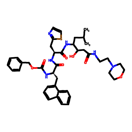 CC(C)CC(NC(=O)[C@H](Cc1nccs1)NC(=O)[C@H](Cc1cccc2ccccc12)NC(=O)OCc1ccccc1)C(O)CC(=O)NCCN1CCOCC1